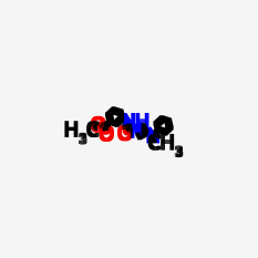 COC(=O)c1cccc(NC(=O)N2CC(N(C)c3ccccc3)C2)c1